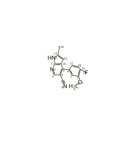 COc1cc(-c2c(C#N)cnc3[nH]c(I)cc23)ccc1F